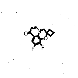 O=c1ccn2c3c(c(F)c(F)cc13)OC1(CCC1)C2